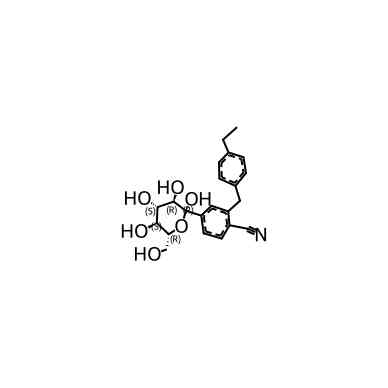 CCc1ccc(Cc2cc([C@@]3(O)O[C@H](CO)[C@@H](O)[C@H](O)[C@H]3O)ccc2C#N)cc1